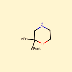 CCCCCC1(CCC)CNCCO1